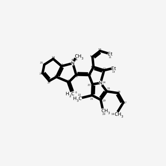 C=c1c2c(n(C)/c1=c1\c(/C=C\CC)c(CC)n3c(/C=C\C)c(C)c(C)c13)CCC=C2